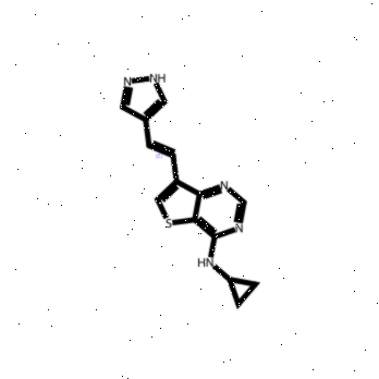 C(=C\c1csc2c(NC3CC3)ncnc12)/c1cn[nH]c1